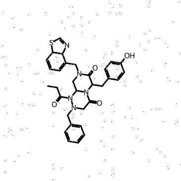 CCC(=O)N1C2CN(CC3=CC=CC4SC=NC34)C(=O)C(Cc3ccc(O)cc3)N2C(=O)CN1Cc1ccccc1